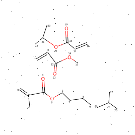 C=C(C)C(=O)OCCCC.C=CC(=O)OC.C=CC(=O)OC(C)C.[CH2]C(C)C